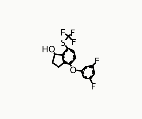 OC1CCc2c(Oc3cc(F)cc(F)c3)ccc(SC(F)(F)F)c21